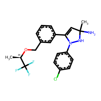 C[C@@H](OCc1cccc(C2=CC(C)(N)NN2c2ccc(Cl)cc2)c1)C(F)(F)F